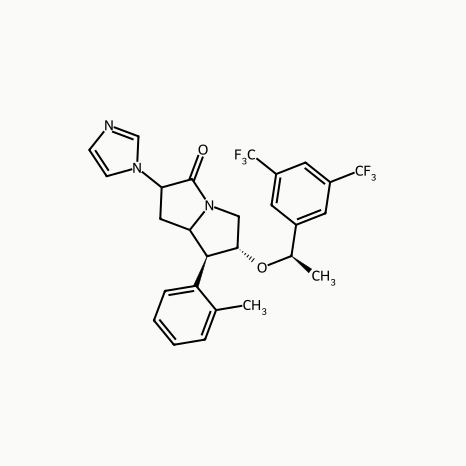 Cc1ccccc1[C@H]1C2CC(n3ccnc3)C(=O)N2C[C@@H]1O[C@H](C)c1cc(C(F)(F)F)cc(C(F)(F)F)c1